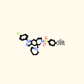 COc1ccc(S(=O)(=O)N2CCC3=Cc4c(cnn4-c4ccc(F)cc4)CC3(CN3CCCCC3)C2)cc1